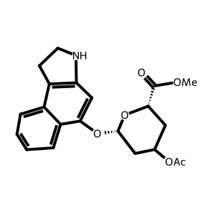 COC(=O)[C@@H]1CC(OC(C)=O)C[C@H](Oc2cc3c(c4ccccc24)CCN3)O1